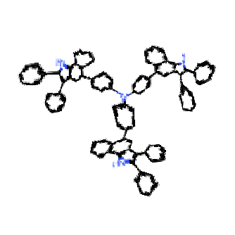 c1ccc(-c2[nH]c3c(cc(-c4ccc(N(c5ccc(-c6cc7c(-c8ccccc8)c(-c8ccccc8)[nH]c7c7ccccc67)cc5)c5ccc(-c6cc7c(-c8ccccc8)c(-c8ccccc8)[nH]c7c7ccccc67)cc5)cc4)c4ccccc43)c2-c2ccccc2)cc1